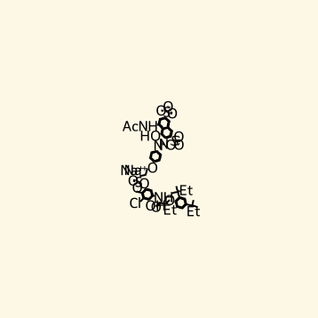 CCC(Oc1ccc(C(C)(C)CC)cc1C(C)(C)CC)C(=O)Nc1cc(OS(=O)(=O)CCCOc2ccc(N=Nc3c(S(=O)(=O)[O-])cc4cc(S(=O)(=O)[O-])cc(NC(C)=O)c4c3O)cc2)c(C)c(Cl)c1O.[Na+].[Na+]